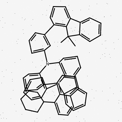 CC1(C)c2ccccc2-c2cccc(-c3cccc(N(c4ccccc4-c4cccc5cccc(C6CCCCC6)c45)c4cccc5c6ccccc6n(-c6ccccc6)c45)c3)c21